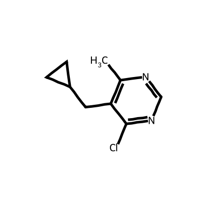 Cc1ncnc(Cl)c1CC1CC1